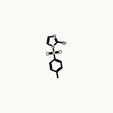 Cc1ccc(S(=O)(=O)n2ccnc2Br)cc1